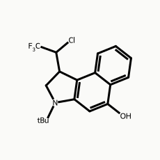 CC(C)(C)N1CC(C(Cl)C(F)(F)F)c2c1cc(O)c1ccccc21